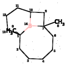 CC12CCCCCC3(C)CC(CCC1)B23